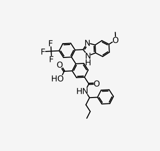 CCCC(NC(=O)c1ccc(-c2cc(C(F)(F)F)ccc2-c2nc3cc(OC)ccc3[nH]2)c(C(=O)O)c1)c1ccccc1